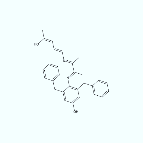 CC(O)=CC=CN=C(C)C(C)=Nc1c(Cc2ccccc2)cc(O)cc1Cc1ccccc1